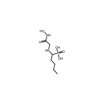 CCCCC(NCC(=O)NO)P(=O)(O)O